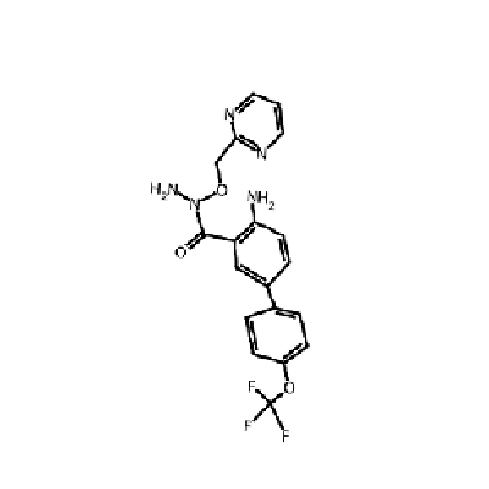 Nc1ccc(-c2ccc(OC(F)(F)F)cc2)cc1C(=O)N(N)OCc1ncccn1